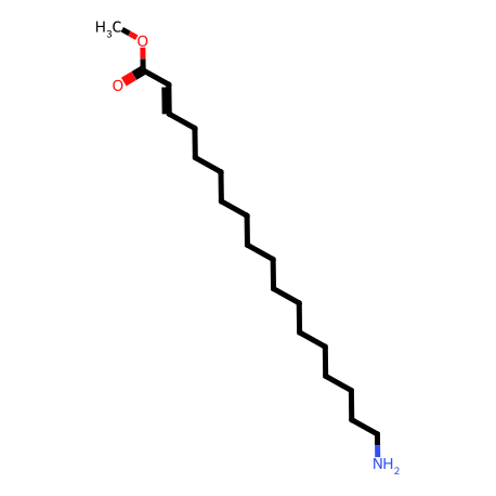 COC(=O)C=CCCCCCCCCCCCCCCCN